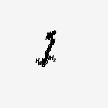 CCc1cnn2c(NCc3ccc(OCCOCCOCCOC4CCN(/C(N)=C/C=C(\N)C(=O)NC5CCCCC5)CC4)nc3)cc(N3CCCCC3)nc12